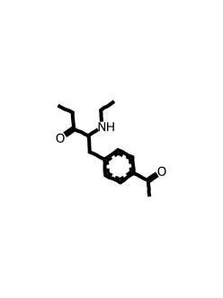 CCNC(Cc1ccc(C(C)=O)cc1)C(=O)CC